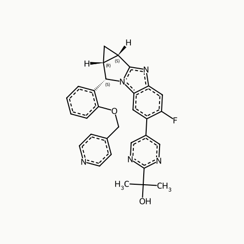 CC(C)(O)c1ncc(-c2cc3c(cc2F)nc2n3[C@H](c3ccccc3OCc3ccncc3)[C@@H]3C[C@H]23)cn1